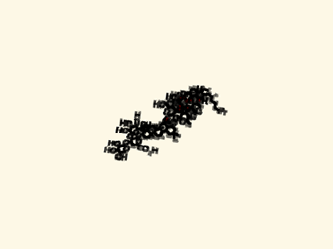 CC(C)CCC[C@@H](C)[C@H]1CC[C@H]2[C@@H]3CCC4C[C@@H](OC(=O)N[C@H]5C(CO)O[C@@H](OC(=O)[C@]67CCC(C)(C)CC6C6=CCC8C9(C)CC[C@H](O[C@@H]%10OC(C(=O)O)C[C@H](O[C@@H]%11OC[C@@H](O)[C@H](O)C%11O)C%10O[C@@H]%10OC(CO)[C@H](O)[C@H](O)C%10O)[C@](C)(C=O)[C@@H]9CC[C@]8(C)[C@]6(C)CC7O)C(O[C@@H]6OC(C)[C@H](O[C@@H]7OC[C@@H](O)C(O[C@@H]8OC[C@@](O)(CO)C8O)C7O)C(O)C6O)C5O)CC[C@]4(C)[C@H]3CC[C@]12C